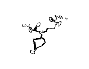 CC(C)(C)OC(=O)N(CCCS(N)(=O)=O)c1ccc(Cl)cc1